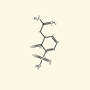 C=C(C)CC1C=CC=C(S(=O)(=O)O)C1=O